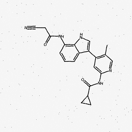 Cc1cnc(NC(=O)C2CC2)cc1-c1c[nH]c2c(NC(=O)CC#N)cccc12